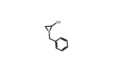 OC1CN1Cc1ccccc1